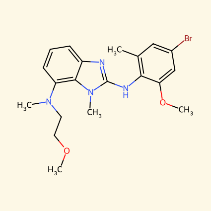 COCCN(C)c1cccc2nc(Nc3c(C)cc(Br)cc3OC)n(C)c12